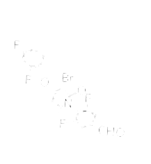 Cc1cc(OCc2ccc(F)cc2F)c(Br)c(=O)n1-c1c(F)cc(C=O)cc1F